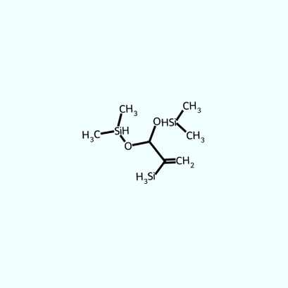 C=C([SiH3])C(O[SiH](C)C)O[SiH](C)C